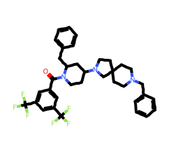 O=C(c1cc(C(F)(F)F)cc(C(F)(F)F)c1)N1CCC(N2CCC3(CCN(Cc4ccccc4)CC3)C2)CC1Cc1ccccc1